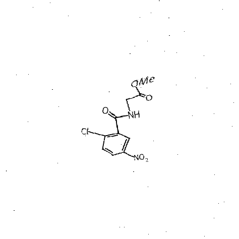 COC(=O)CNC(=O)c1cc([N+](=O)[O-])ccc1Cl